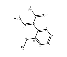 CCC(=O)C(=NOC)c1ccccc1CBr